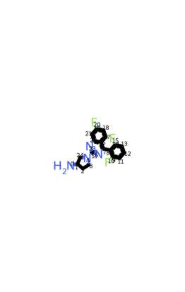 NC1CCN(c2nc(-c3c(F)cccc3F)c3ccc(F)cc3n2)C1